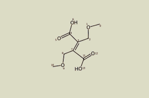 COC/C(C(=O)O)=C(/COC)C(=O)O